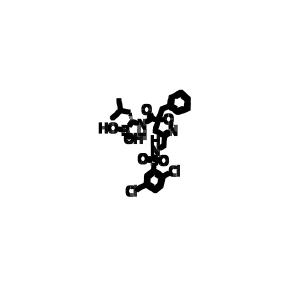 CC(C)C[C@H](NC(=O)C1(Cc2ccccc2)CC(CNS(=O)(=O)c2cc(Cl)ccc2Cl)=NO1)B(O)O